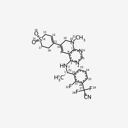 C[C@H](Nc1ncnc2c1C=C(C1=CCS(=O)(=O)CC1)CN2C)c1cccc(C(F)(F)C#N)c1F